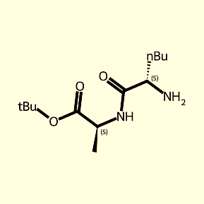 CCCC[C@H](N)C(=O)N[C@@H](C)C(=O)OC(C)(C)C